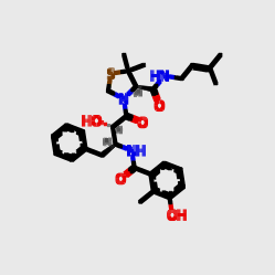 CC(C)=CCNC(=O)[C@H]1N(C(=O)[C@@H](O)[C@H](Cc2ccccc2)NC(=O)c2cccc(O)c2C)CSC1(C)C